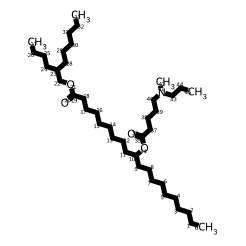 CCCCCCCCCCC(CCCCCCCCC(=O)OCC(CCCC)CCCCCC)OC(=O)CCCCN(C)CCC